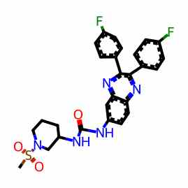 CS(=O)(=O)N1CCCC(NC(=O)Nc2ccc3nc(-c4ccc(F)cc4)c(-c4ccc(F)cc4)nc3c2)C1